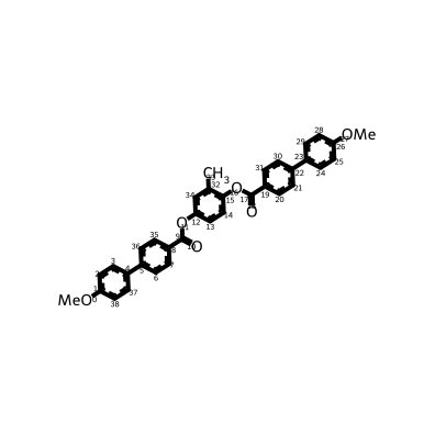 COc1ccc(-c2ccc(C(=O)Oc3ccc(OC(=O)c4ccc(-c5ccc(OC)cc5)cc4)c(C)c3)cc2)cc1